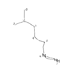 C[C](C)CCCN=N